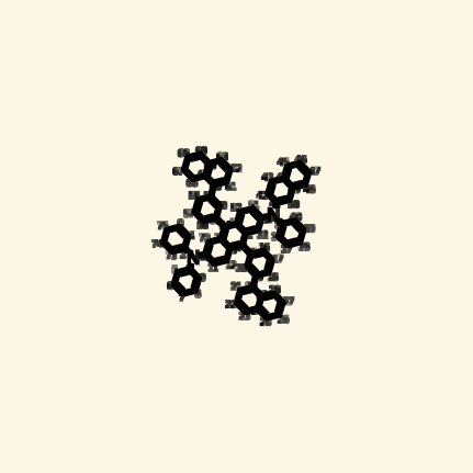 C1=CC(N(c2ccccc2)c2ccc3c(-c4cccc(-c5cccc6ccccc56)c4)c4cc(N(c5ccccc5)c5ccc6ccccc6c5)ccc4c(-c4cccc(-c5cccc6c5CCC=C6)c4)c3c2)=CCC1